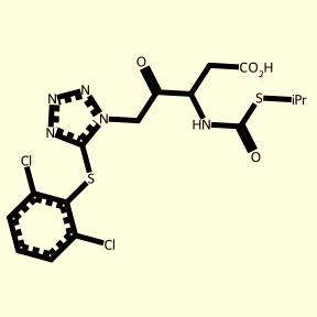 CC(C)SC(=O)NC(CC(=O)O)C(=O)Cn1nnnc1Sc1c(Cl)cccc1Cl